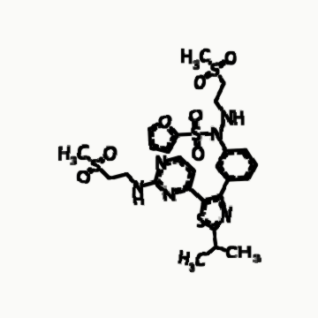 CC(C)c1nc(-c2cccc(N(NCCS(C)(=O)=O)S(=O)(=O)c3ccco3)c2)c(-c2ccnc(NCCS(C)(=O)=O)n2)s1